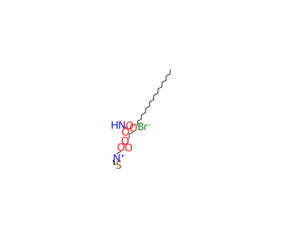 CCCCCCCCCCCCCCCCCCOCC(COC(=O)OCC[n+]1ccsc1)OC(=O)NC.[Br-]